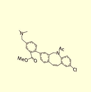 COC(=O)c1cc(CN(C)C)ccc1-c1ccc2c(c1)CN(C(C)=O)c1ccc(Cl)cc1C=C2